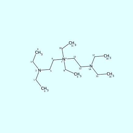 CCN(CC)CC[N+](CC)(CC)CCN(CC)CC